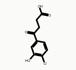 O=C(O)CCC(=O)c1ccc(Cl)c(O)c1